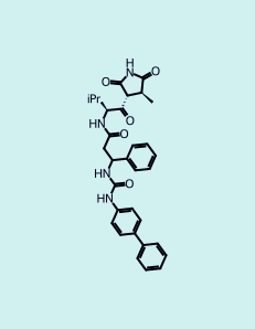 CC(C)[C@H](NC(=O)CC(NC(=O)Nc1ccc(-c2ccccc2)cc1)c1ccccc1)C(=O)[C@@H]1C(=O)NC(=O)[C@H]1C